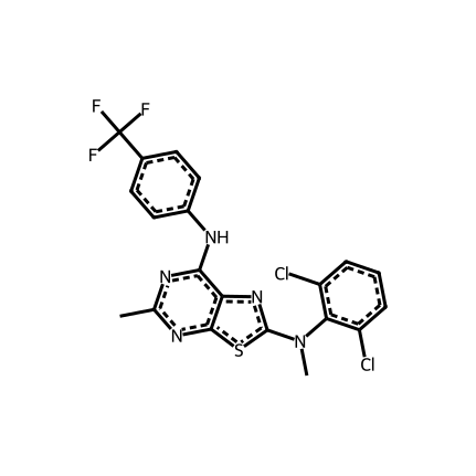 Cc1nc(Nc2ccc(C(F)(F)F)cc2)c2nc(N(C)c3c(Cl)cccc3Cl)sc2n1